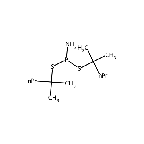 CCCC(C)(C)SP(N)SC(C)(C)CCC